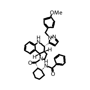 COc1ccc(Cn2nccc2[C@H]2Nc3ccccc3[C@@H]3[C@H]2CCN3C(=O)[C@H]2CCCC[C@H]2NC(=O)c2ccccc2)cc1